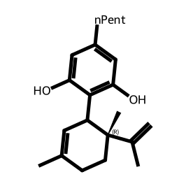 C=C(C)[C@]1(C)CCC(C)=CC1c1c(O)cc(CCCCC)cc1O